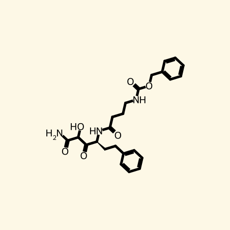 NC(=O)C(O)C(=O)[C@H](CCc1ccccc1)NC(=O)CCCNC(=O)OCc1ccccc1